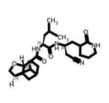 CC(C)C[C@H](NC(=O)OC1C2CC[C@H]3OC[C@@H]1C3C2)C(=O)N[C@H](CC#N)CC1CCCNC1=O